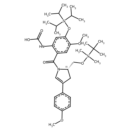 COc1ccc(C2=CN(C(=O)c3cc(OC)c(O[Si](C(C)C)(C(C)C)C(C)C)cc3NC(=O)O)[C@H](CO[Si](C)(C)C(C)(C)C)C2)cc1